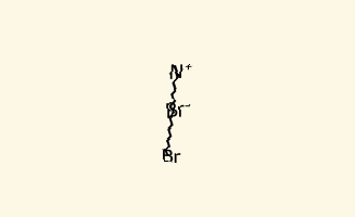 C[N+](C)(C)CCCCCCCCCCCCCCBr.[Br-]